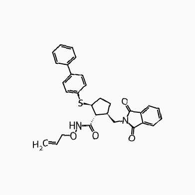 C=CCONC(=O)[C@H]1[C@H](CN2C(=O)c3ccccc3C2=O)CC[C@@H]1Sc1ccc(-c2ccccc2)cc1